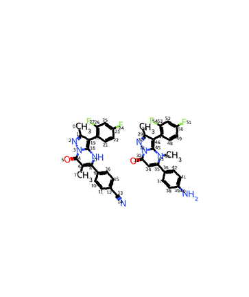 Cc1nn2c(=O)c(C)c(-c3ccc(C#N)cc3)[nH]c2c1-c1ccc(F)cc1F.Cc1nn2c(=O)cc(-c3ccc(N)cc3)n(C)c2c1-c1ccc(F)cc1F